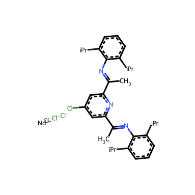 CC(=Nc1c(C(C)C)cccc1C(C)C)c1cc(Cl)cc(C(C)=Nc2c(C(C)C)cccc2C(C)C)n1.[Cl-].[Cl-].[Cl-].[Nd+3]